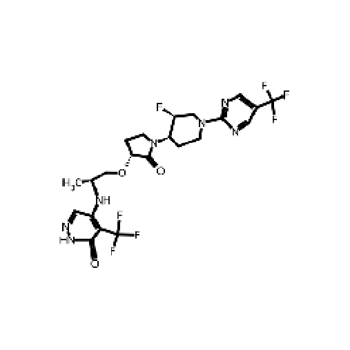 C[C@@H](CO[C@@H]1CCN([C@@H]2CCN(c3ncc(C(F)(F)F)cn3)C[C@@H]2F)C1=O)Nc1cn[nH]c(=O)c1C(F)(F)F